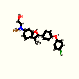 Cc1c(-c2ccc(Oc3ccc(F)cc3)cc2)oc2cc(N(S)CCO)ccc12